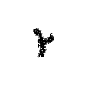 CCC(=O)N1CCC(CNc2cc(-c3ccnc(F)c3)cc3c2cnn3CCCN2CCOCC2)CC1